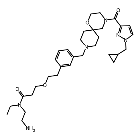 CCN(CCN)C(=O)CCOCCc1cccc(CN2CCC3(CC2)CN(C(=O)c2ccn(CC4CC4)n2)CCO3)c1